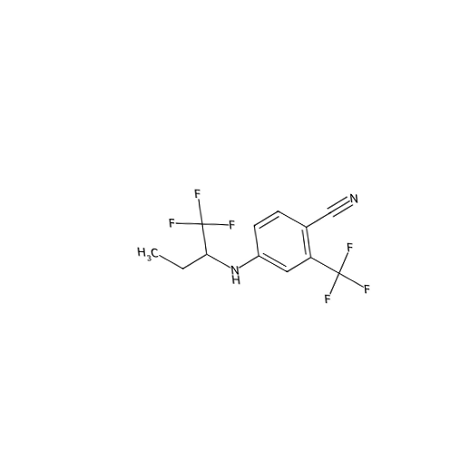 CCC(Nc1ccc(C#N)c(C(F)(F)F)c1)C(F)(F)F